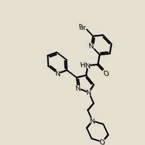 O=C(Nc1cn(CCN2CCOCC2)nc1-c1ccccn1)c1cccc(Br)n1